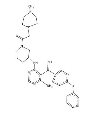 CN1CCN(CC(=O)N2CCC[C@@H](Nc3ncnc(N)c3C(=N)c3ccc(Oc4ccccc4)cc3)C2)CC1